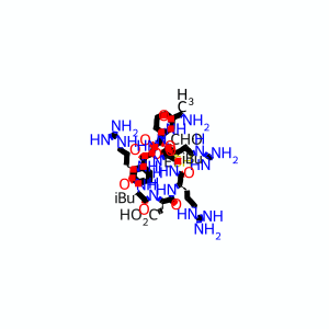 CCC(=O)[C@@]([C]=O)(C(S)CCNC(=N)N)N(C(=O)[C@H](Cc1ccccc1)NC(=O)[C@@H](NC(=O)[C@H](CCCNC(=N)N)NC(=O)[C@H](CC(=O)O)NC(=O)[C@@H](NC(=O)[C@H](CCCNC(=N)N)NC(=O)CNC(=O)CNC(=O)[C@H](C)N)[C@@H](C)CC)[C@@H](C)CC)C1CCCCC1